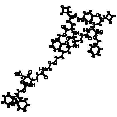 CC(C)(C)OC(=O)C(CCC(=O)NCCOCCCCC(=O)NC(CCC(=O)NC(CCC(=O)C1CCC1)C(=O)OCc1ccccc1)C(=O)NC(CCC(OCc1ccccc1)=C1CCC1)C(=O)OCc1ccccc1)NC(=O)OCC1c2ccccc2-c2ccccc21